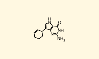 Nc1nc2c(C3C=CCCC3)c[nH]c2c(=O)[nH]1